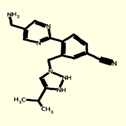 CC(C)C1=CN(Cc2cc(C#N)ccc2-c2ncc(CN)cn2)NN1